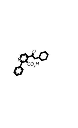 O=C(CC1CCCCC1)c1ccnc(-c2ccccc2)c1C(=O)O